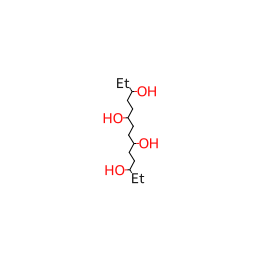 [CH2]CC(O)CCC(O)CCC(O)CCC(O)CC